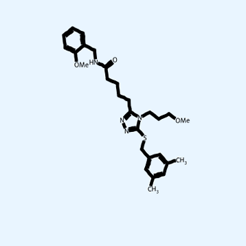 COCCCn1c(CCCCC(=O)NCc2ccccc2OC)nnc1SCc1cc(C)cc(C)c1